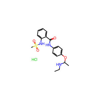 CCNC(C)Oc1ccc(NC(=O)c2ccccc2NS(C)(=O)=O)cc1.Cl